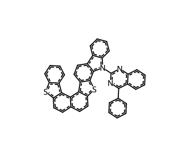 c1ccc(-c2nc(-n3c4ccccc4c4ccc5c(sc6ccc7ccc8sc9ccccc9c8c7c65)c43)nc3ccccc23)cc1